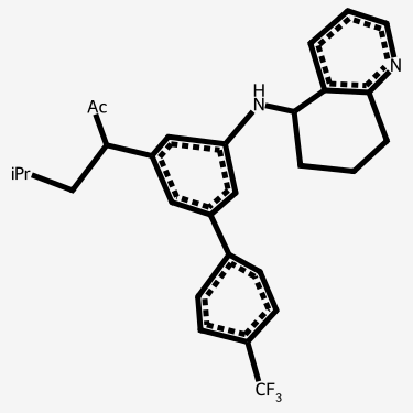 CC(=O)C(CC(C)C)c1cc(NC2CCCc3ncccc32)cc(-c2ccc(C(F)(F)F)cc2)c1